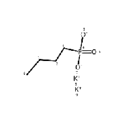 CCCCP(=O)([O-])[O-].[K+].[K+]